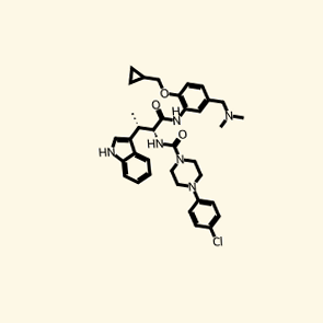 C[C@@H](c1c[nH]c2ccccc12)[C@@H](NC(=O)N1CCN(c2ccc(Cl)cc2)CC1)C(=O)Nc1cc(CN(C)C)ccc1OCC1CC1